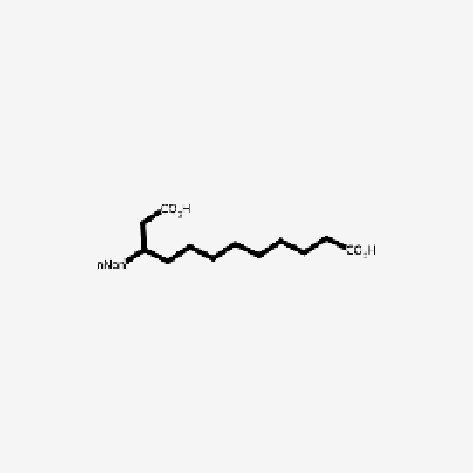 CCCCCCCCCC(CCCCCCCCC(=O)O)CC(=O)O